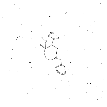 CCOP1(=O)CCCN(Cc2ccccc2)CC1C(=O)OC(C)(C)C